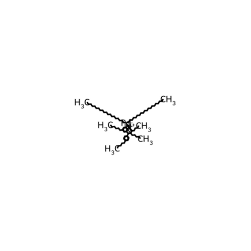 CCCCCCCCCCCCCCCCCCC[CH2][Pd][CH2]CCCCCCCCCCCCCCCCCCC.CCCCCCc1cccc(C(=C(CCCCC)C(=C=[N+]=[N-])CCCC)c2ccc(CCCCC)cc2)c1